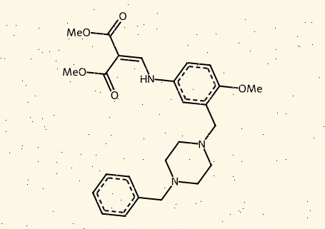 COC(=O)C(=CNc1ccc(OC)c(CN2CCN(Cc3ccccc3)CC2)c1)C(=O)OC